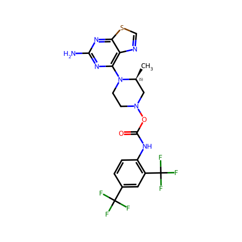 C[C@H]1CN(OC(=O)Nc2ccc(C(F)(F)F)cc2C(F)(F)F)CCN1c1nc(N)nc2scnc12